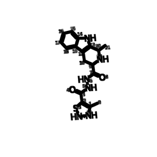 CC1=C(C(=O)NNC(=O)C2Cc3c([nH]c4ccccc34)C(C)N2)SNN1